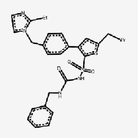 CCc1nccn1Cc1ccc(-c2cc(CC(C)C)sc2S(=O)(=O)NC(=O)NCc2ccccc2)cc1